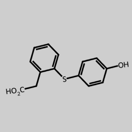 O=C(O)Cc1ccccc1Sc1ccc(O)cc1